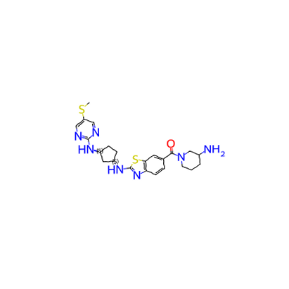 CSc1cnc(N[C@H]2CC[C@H](Nc3nc4ccc(C(=O)N5CCCC(N)C5)cc4s3)C2)nc1